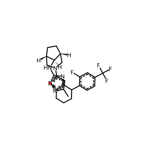 Cc1cc(N2C[C@H]3CC[C@@H](C2)[C@@H]3Nc2nc3n(n2)CCCC3c2ccc(C(F)(F)F)cc2F)sn1